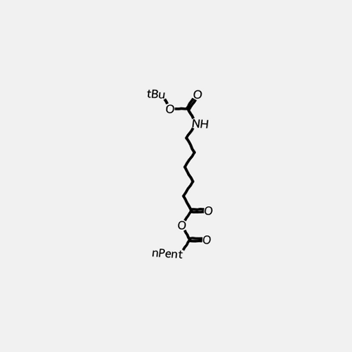 CCCCCC(=O)OC(=O)CCCCCNC(=O)OC(C)(C)C